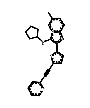 Cc1ccc2nc(-c3ccc(C#Cc4ccccn4)s3)c(NC3CCCC3)n2c1